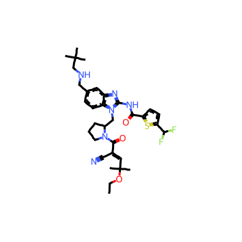 CCOC(C)(C)C=C(C#N)C(=O)N1CCCC1Cn1c(NC(=O)c2ccc(C(F)F)s2)nc2cc(CNCC(C)(C)C)ccc21